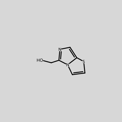 OCc1ncc2sccn12